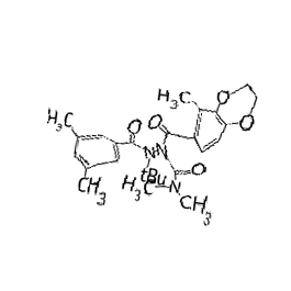 Cc1cc(C)cc(C(=O)N(N(C(=O)c2ccc3c(c2C)OCCO3)C(=O)N(C)C)C(C)(C)C)c1